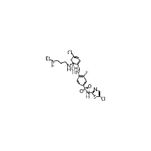 CCNCCCNC1(C)CC(Cl)=CC=C1CNc1ccc(S(=O)(=O)Nc2ncc(Cl)s2)cc1F